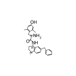 Cc1cc(O)cc(C)c1C[C@H](N)C(=O)N[C@@H]1CC[C@@H](C)c2ccc(Cc3ccccc3)cc21